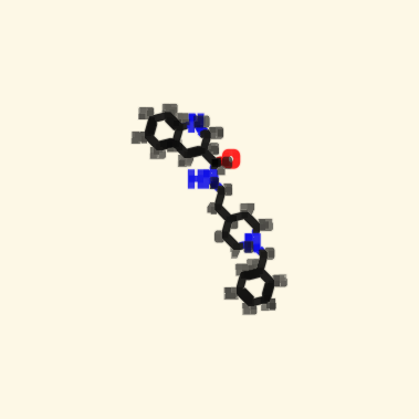 O=C(NCCC1CCN(Cc2ccccc2)CC1)c1cnc2ccccc2c1